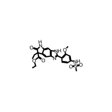 CCOC(=O)C1(CC)C(=O)Nc2cc3[nH]c(-c4ccc(NS(C)(=O)=O)cc4OC)nc3cc21